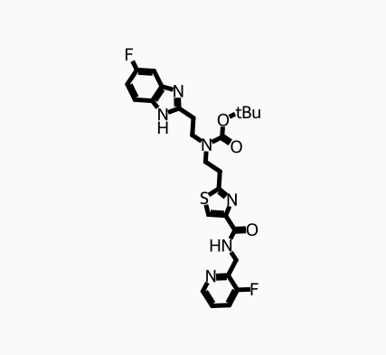 CC(C)(C)OC(=O)N(CCc1nc2cc(F)ccc2[nH]1)CCc1nc(C(=O)NCc2ncccc2F)cs1